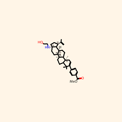 C=C(C)[C@@H]1CC[C@]2(NCCO)CC[C@]3(C)[C@H](CCC4[C@@]5(C)CC=C(c6ccc(C(=O)OC)cc6)C(C)(C)C5CC[C@]43C)C12